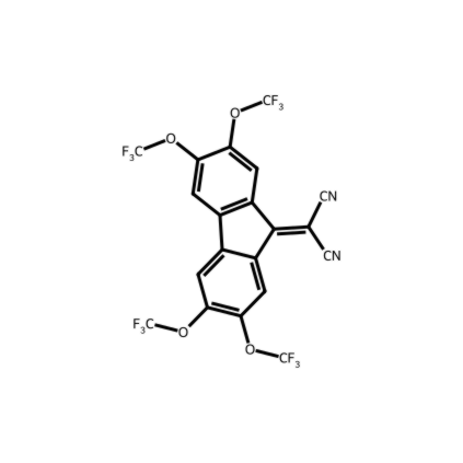 N#CC(C#N)=C1c2cc(OC(F)(F)F)c(OC(F)(F)F)cc2-c2cc(OC(F)(F)F)c(OC(F)(F)F)cc21